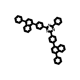 c1ccc(-c2nc(-c3ccc(-c4ccc(-c5ccccc5)c5ccccc45)cc3)nc(-c3ccc(-c4ccc(-c5ccccc5)c5ccccc45)cc3)n2)cc1